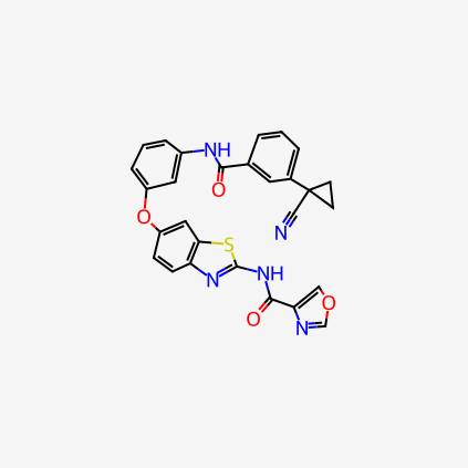 N#CC1(c2cccc(C(=O)Nc3cccc(Oc4ccc5nc(NC(=O)c6cocn6)sc5c4)c3)c2)CC1